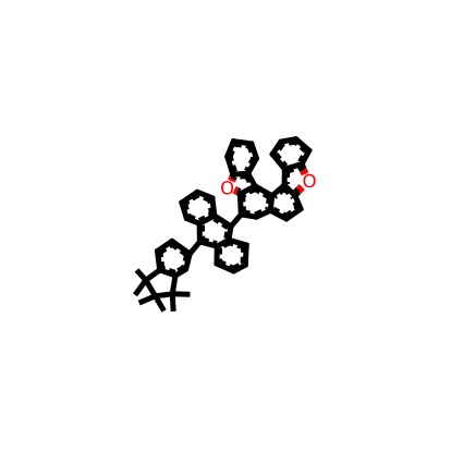 CC1(C)c2ccc(-c3c4ccccc4c(-c4cc5ccc6oc7ccccc7c6c5c5c4oc4ccccc45)c4ccccc34)cc2C(C)(C)C1(C)C